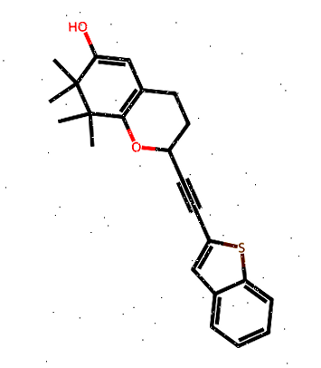 CC1(C)C(O)=CC2=C(OC(C#Cc3cc4ccccc4s3)CC2)C1(C)C